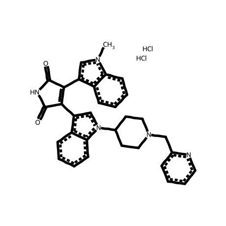 Cl.Cl.Cn1cc(C2=C(c3cn(C4CCN(Cc5ccccn5)CC4)c4ccccc34)C(=O)NC2=O)c2ccccc21